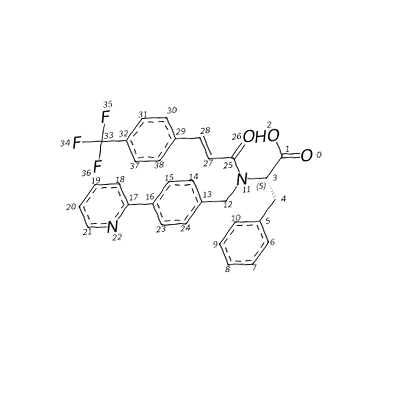 O=C(O)[C@H](Cc1ccccc1)N(Cc1ccc(-c2ccccn2)cc1)C(=O)C=Cc1ccc(C(F)(F)F)cc1